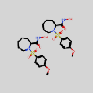 COc1ccc(S(=O)(=O)N2CCCCCC2C(=O)NO)cc1.COc1ccc(S(=O)(=O)N2CCCCCC2C(=O)NO)cc1